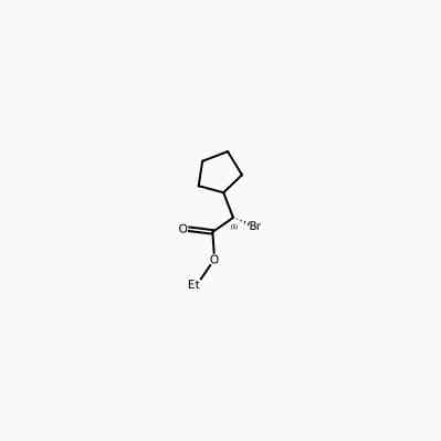 CCOC(=O)[C@@H](Br)C1CCCC1